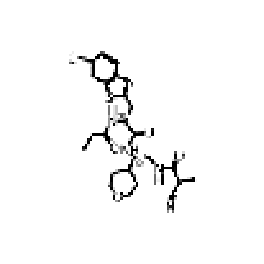 CCC(=O)N[C@@H](Cc1nc2ccc(Cl)cc2s1)C(=O)N[C@H](CNC(=O)C(C)C#N)C1CCOCC1